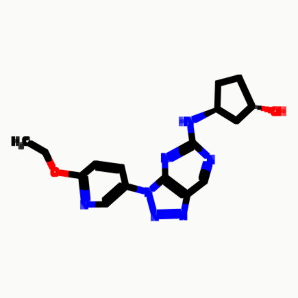 CCOc1ccc(-n2nnc3cnc(N[C@H]4CC[C@H](O)C4)nc32)cn1